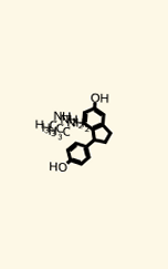 CN.CN.CN.Oc1ccc(C2CCc3cc(O)ccc32)cc1